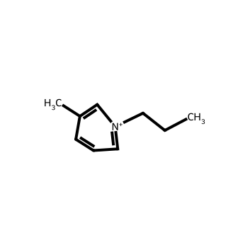 CCC[n+]1cccc(C)c1